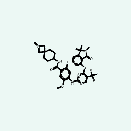 COc1cc(C(=O)NC2CCC3(CC2)CN(C)C3)c(F)cc1Nc1ncc(C(F)(F)F)c(Oc2cccc3c2C(=O)N(C)C3(C)C)n1